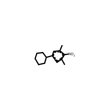 Cc1cc(C2CCCCC2)cc(C)c1[N+](=O)[O-]